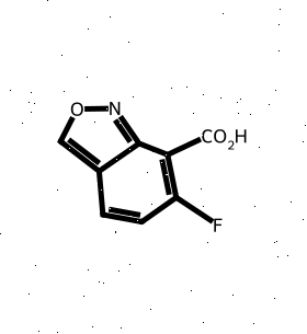 O=C(O)c1c(F)ccc2conc12